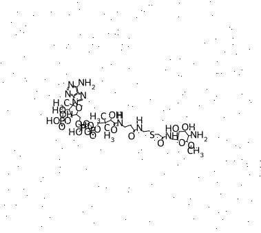 COC1OC(CNC(=O)CSCCNC(=O)CCNC(=O)C(O)C(C)(C)COP(=O)(O)OP(=O)(O)OCC2OC(C)(n3cnc4c(N)ncnc43)C(O)C2OP(=O)(O)O)C(O)C(O)C1N